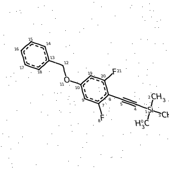 C[Si](C)(C)C#Cc1c(F)cc(OCc2ccccc2)cc1F